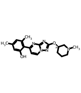 Cc1cc(C)c(-c2ccn3nc(O[C@@H]4CCCN(C)C4)nc3n2)c(O)c1